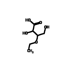 CCOC(CO)C(O)C(=O)O